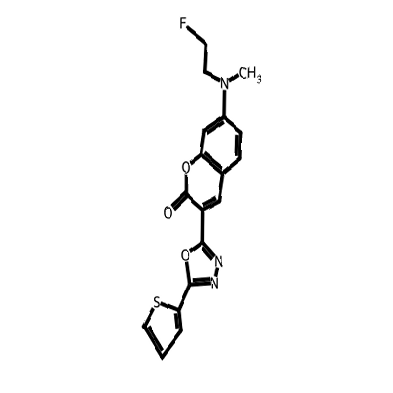 CN(CCF)c1ccc2cc(-c3nnc(-c4cccs4)o3)c(=O)oc2c1